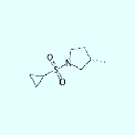 C[C@H]1CCN(S(=O)(=O)C2CC2)C1